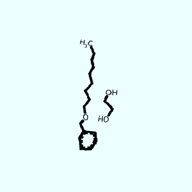 CCCCCCCCCOCc1ccccc1.OCCO